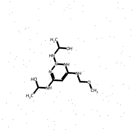 COCNC1=CC(NC(C)O)=NN(NC(C)O)N1